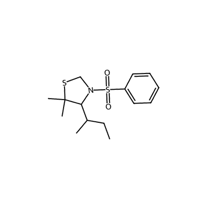 CCC(C)C1N(S(=O)(=O)c2ccccc2)CSC1(C)C